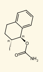 NC(=O)O[C@@H]1c2ccccc2CC[C@H]1I